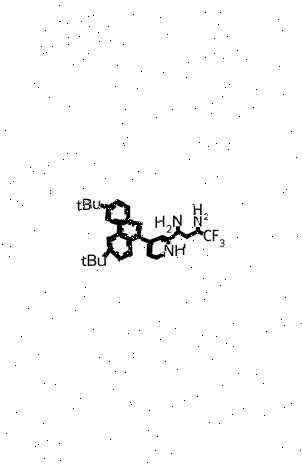 CC(C)(C)c1ccc2cc(C3=CCNC(C(N)CC(N)C(F)(F)F)=C3)c3ccc(C(C)(C)C)cc3c2c1